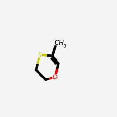 CC1=COCCS1